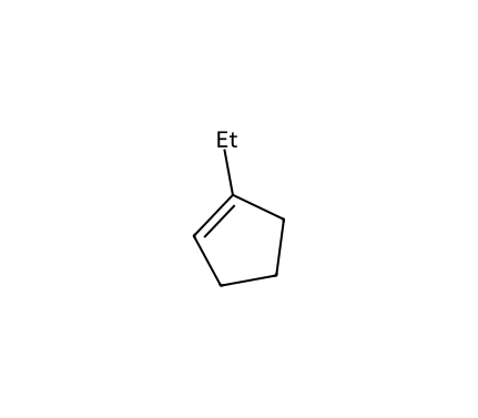 CCC1=CCCC1